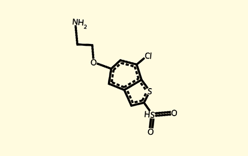 NCCOc1cc(Cl)c2sc([SH](=O)=O)cc2c1